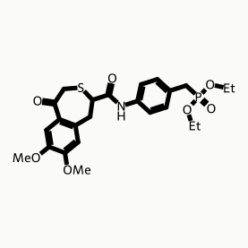 CCOP(=O)(Cc1ccc(NC(=O)C2Cc3cc(OC)c(OC)cc3C(=O)CS2)cc1)OCC